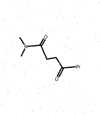 CC(C)C(=O)CCC(=O)N(C)C